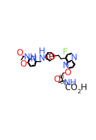 O=C(O)N[C@H]1CO[C@H]1COc1ccc2ncc(F)c(CCC34CCC(NCc5ccc6c(n5)NC(=O)CO6)(CC3)CO4)c2n1